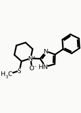 CSC1CCCC[N+]1([O-])c1nc(-c2ccccc2)c[nH]1